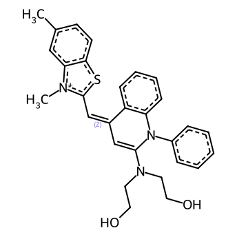 Cc1ccc2sc(/C=C3/C=C(N(CCO)CCO)N(c4ccccc4)c4ccccc43)[n+](C)c2c1